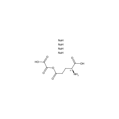 N[C@@H](CCC(=O)OC(=O)C(=O)O)C(=O)O.[NaH].[NaH].[NaH].[NaH]